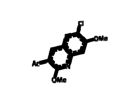 COc1cc2nc(OC)c(C(C)=O)cc2cc1Cl